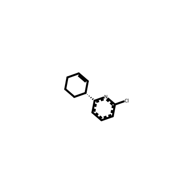 Clc1cccc([C@H]2C=CCCC2)n1